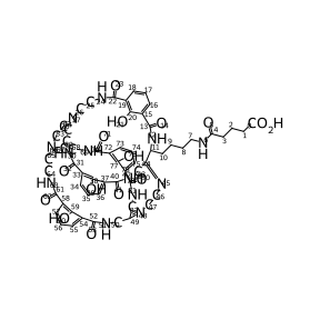 O=C(O)CCCC(=O)NCCCCC1NC(=O)c2cccc(c2O)C(=O)NCCN2CCNC(=O)c3cccc(c3O)C(=O)NC/C1=N/CCN=C1CNC(=O)c3cccc(c3O)C(=O)NCCN(CCNC(=O)c3cccc(c3O)C(=O)NC1)CC2